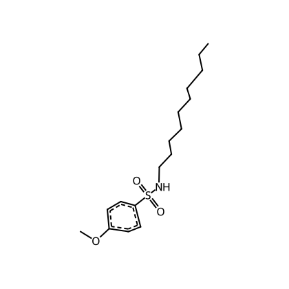 CCCCCCCCCCNS(=O)(=O)c1ccc(OC)cc1